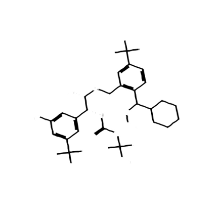 COC(c1ccc(C(F)(F)F)cc1CN[C@@H](C)[C@H](NC(=O)OC(C)(C)C)c1cc(C)cc(C(F)(F)F)c1)C1CCCCC1